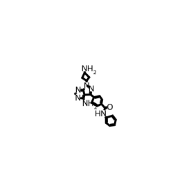 Nc1ncnc2c1c(-c1ccc(C(=O)Nc3ccccc3)cc1)nn2C1CC(N)C1